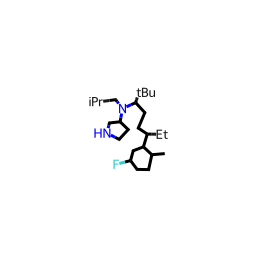 CCC(CCC(N(CC(C)C)C1CCNC1)C(C)(C)C)C1CC(F)CCC1C